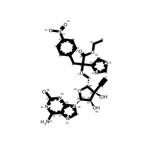 C#C[C@@]1(O)[C@@H](COC(Cc2ccc([N+](=O)[O-])cc2)(C(=O)OCC)c2cscn2)O[C@@H](n2cnc3c(N)nc(Cl)nc32)[C@@H]1O